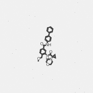 COCc1ccc(C(=O)Nc2ccc(-c3ccccc3)cc2)cc1NC(=O)C1(N2CCOCC2)CC1